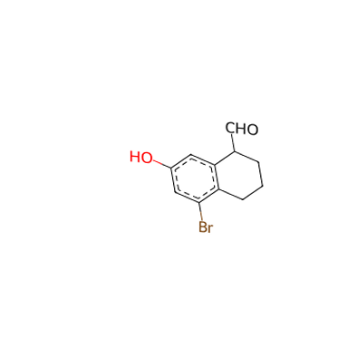 O=CC1CCCc2c(Br)cc(O)cc21